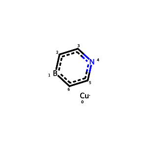 [Cu].b1ccncc1